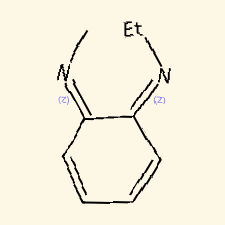 CC/N=C1/C=CC=C/C1=N/C